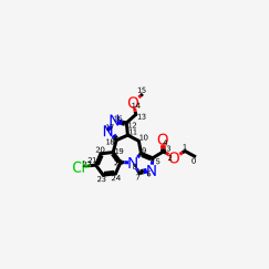 CCOC(=O)c1ncn2c1CC1C(COC)=NN=C1c1cc(Cl)ccc1-2